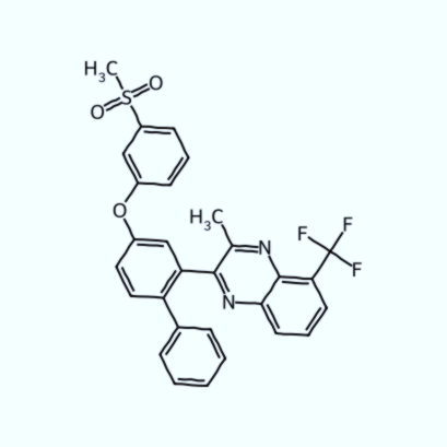 Cc1nc2c(C(F)(F)F)cccc2nc1-c1cc(Oc2cccc(S(C)(=O)=O)c2)ccc1-c1ccccc1